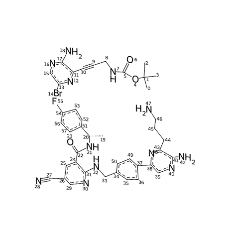 CC(C)(C)OC(=O)NCC#Cc1nc(Br)cnc1N.C[C@H](NC(=O)c1cc(C#N)cnc1NCc1ccc(-c2cnc(N)c(CCCN)n2)cc1)c1ccc(F)cc1